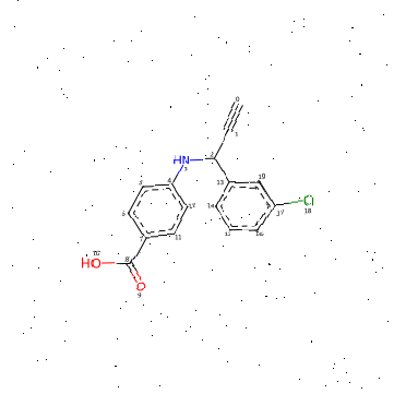 C#CC(Nc1ccc(C(=O)O)cc1)c1cccc(Cl)c1